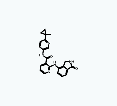 CC1(c2ccc(NC(=O)c3cccnc3Nc3cccc4c3CNC4=O)cn2)CC1